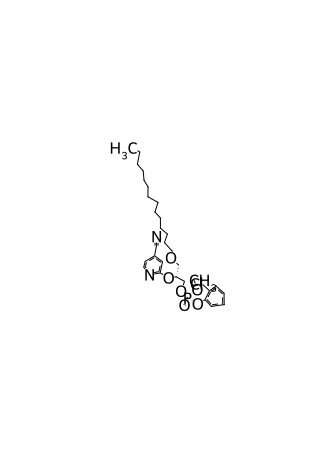 CCCCCCCCCCCCCCOC[C@H](COP(=O)(OC)Oc1ccccc1Cl)Oc1cc(C#N)ccn1